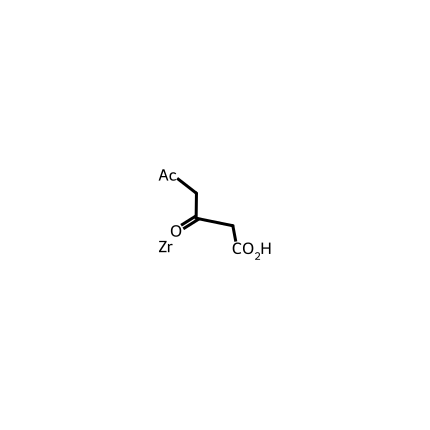 CC(=O)CC(=O)CC(=O)O.[Zr]